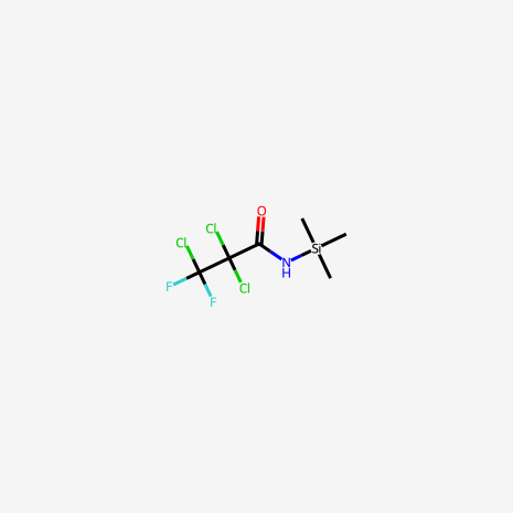 C[Si](C)(C)NC(=O)C(Cl)(Cl)C(F)(F)Cl